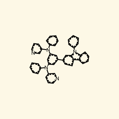 c1ccc(N(c2cccnc2)c2cc(-c3ccc4c5ccccc5n(-c5ccccc5)c4c3)cc(N(c3ccccc3)c3cccnc3)c2)cc1